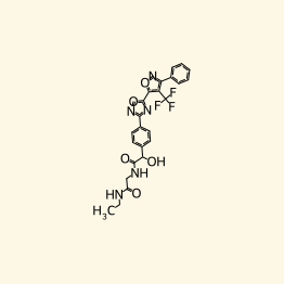 CCNC(=O)CNC(=O)C(O)c1ccc(-c2noc(-c3onc(-c4ccccc4)c3C(F)(F)F)n2)cc1